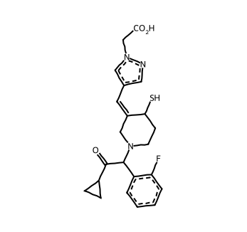 O=C(O)Cn1cc(C=C2CN(C(C(=O)C3CC3)c3ccccc3F)CCC2S)cn1